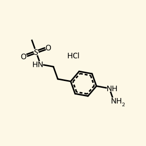 CS(=O)(=O)NCCc1ccc(NN)cc1.Cl